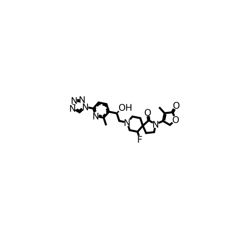 CC1=C(N2CCC3(CCN(C[C@H](O)c4ccc(-n5cnnn5)nc4C)CC3F)C2=O)COC1=O